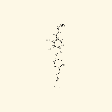 C/C=C/CCC1CCC(COc2ccc(O/C=C/C)c(F)c2F)CC1